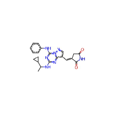 CC(Nc1nc(Nc2ccccc2)n2ncc(C=C3CC(=O)NC3=O)c2n1)C1CC1